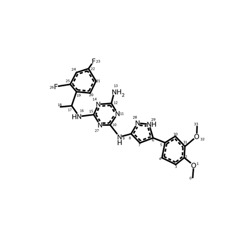 COc1ccc(-c2cc(Nc3nc(N)nc(NC(C)c4ccc(F)cc4F)n3)n[nH]2)cc1OC